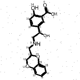 O=C(O)c1cc(C(O)CNCC2COc3ccccc3O2)ccc1O